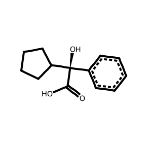 O=C(O)[C@@](O)(c1ccccc1)C1CCCC1